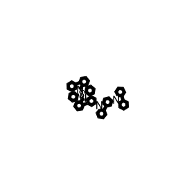 c1ccc(S(c2ccccc2)(n2c3ccccc3c3ccccc32)n2c3ccccc3c3cc(-n4c5ccccc5c5cc(-n6c7ccccc7c7ccccc76)ccc54)ccc32)cc1